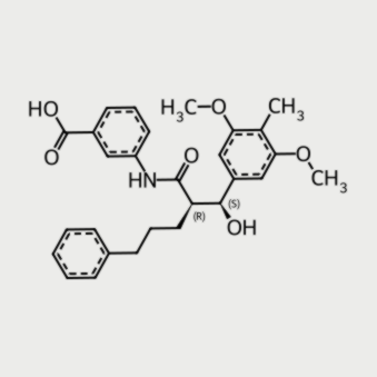 COc1cc([C@@H](O)[C@@H](CCCc2ccccc2)C(=O)Nc2cccc(C(=O)O)c2)cc(OC)c1C